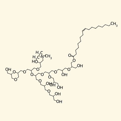 CCCCCCCC/C=C\CCCCCCCC(=O)OCC(CO)OCC(O)COCC(COCC(COCC(O)COCC(O)CO)OC(COCC(O)C[N+](C)(C)C)COCC1COCC(CO)O1)OCC(O)CO